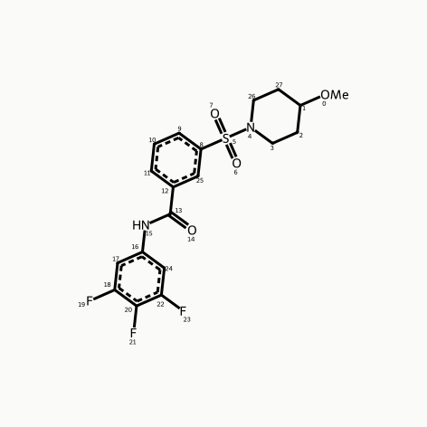 COC1CCN(S(=O)(=O)c2cccc(C(=O)Nc3cc(F)c(F)c(F)c3)c2)CC1